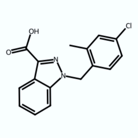 Cc1cc(Cl)ccc1Cn1nc(C(=O)O)c2ccccc21